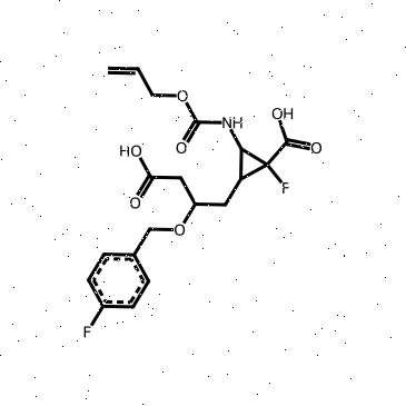 C=CCOC(=O)NC1C(CC(CC(=O)O)OCc2ccc(F)cc2)C1(F)C(=O)O